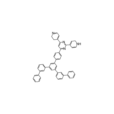 C1=CC(c2nc(C3=CC=NCC3)cc(-c3ccc(-c4cc(-c5cccc(-c6ccccc6)c5)cc(-c5cccc(-c6ccccc6)c5)c4)cc3)n2)=CCN1